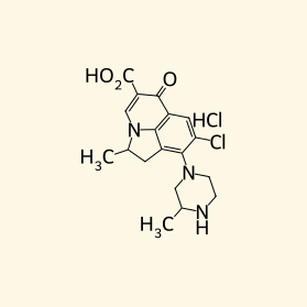 CC1CN(c2c(Cl)cc3c(=O)c(C(=O)O)cn4c3c2CC4C)CCN1.Cl